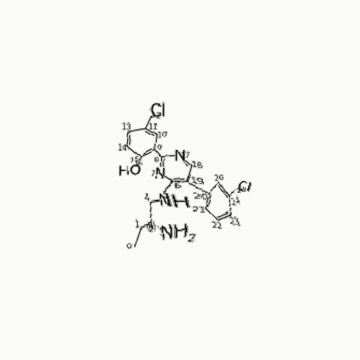 CC[C@@H](N)CNc1nc(-c2cc(Cl)ccc2O)ncc1-c1cccc(Cl)c1